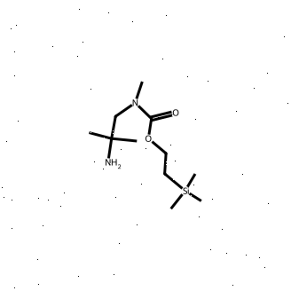 CN(CC(C)(C)N)C(=O)OCC[Si](C)(C)C